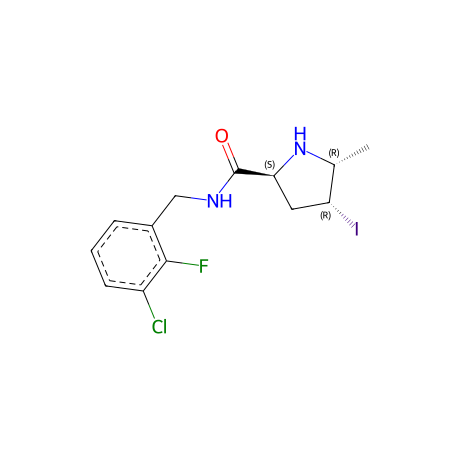 C[C@H]1N[C@H](C(=O)NCc2cccc(Cl)c2F)C[C@H]1I